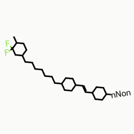 [CH2+][CH-]CCCCCCCC1CCC(C=CC2CCC(CCCCCCCC3CCC(C)C(F)(F)C3)CC2)CC1